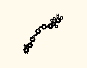 Cn1c2ccncc2c2ccc(C3CCN(CCC4CCN(CC5CCN(c6ccc7c(c6)C(=O)N(C6CCC(=O)NC6=O)C7=O)CC5)CC4)CC3)cc21